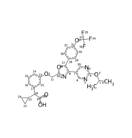 CC(C)Oc1ncc(-c2nc(COc3cccc(C(C(=O)O)C4CC4)c3)oc2-c2ccc(OC(F)(F)F)cc2)cn1